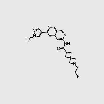 Cn1cc(-c2cc3cc(NC(=O)C4CC5(C4)CN(CCF)C5)ncc3cn2)cn1